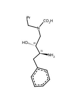 CC(C)CN(C[C@@H](O)[C@@H](N)Cc1ccccc1)C(=O)O